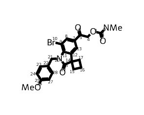 CNC(=O)OCC(=O)c1cc(Br)c2c(c1)C1(CCC1)C(=O)N2Cc1ccc(OC)cc1